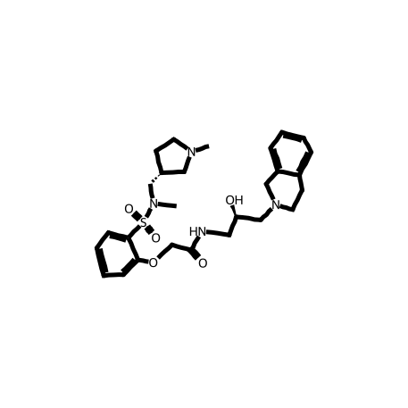 CN1CC[C@@H](CN(C)S(=O)(=O)c2ccccc2OCC(=O)NC[C@@H](O)CN2CCc3ccccc3C2)C1